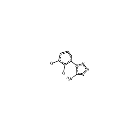 Nc1nnnn1-c1cccc(Cl)c1Cl